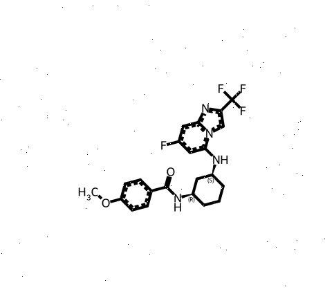 COc1ccc(C(=O)N[C@@H]2CCC[C@H](Nc3cc(F)cc4nc(C(F)(F)F)cn34)C2)cc1